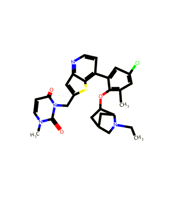 CCN1CC2CC(Oc3c(C)cc(Cl)cc3-c3ccnc4cc(Cn5c(=O)ccn(C)c5=O)sc34)C1C2